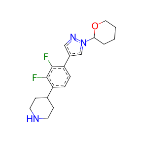 Fc1c(-c2cnn(C3CCCCO3)c2)ccc(C2CCNCC2)c1F